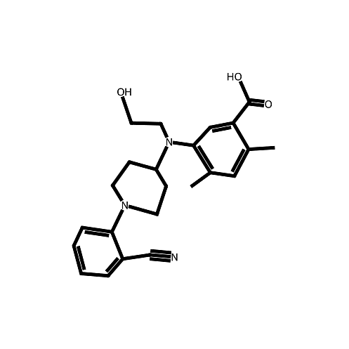 Cc1cc(C)c(N(CCO)C2CCN(c3ccccc3C#N)CC2)cc1C(=O)O